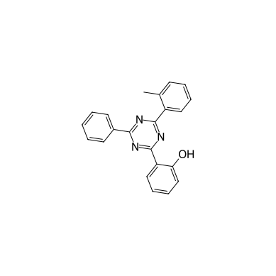 Cc1ccccc1-c1nc(-c2ccccc2)nc(-c2ccccc2O)n1